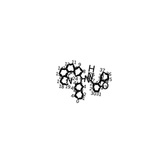 c1ccc2cc(C(c3ccc4ccc5ccc6cccnc6c5c4c3)N3NC3c3cccc4oc5ccccc5c34)ccc2c1